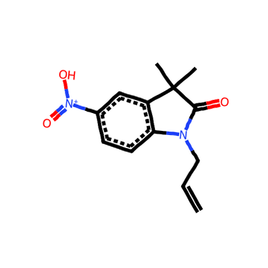 C=CCN1C(=O)C(C)(C)c2cc([N+](=O)O)ccc21